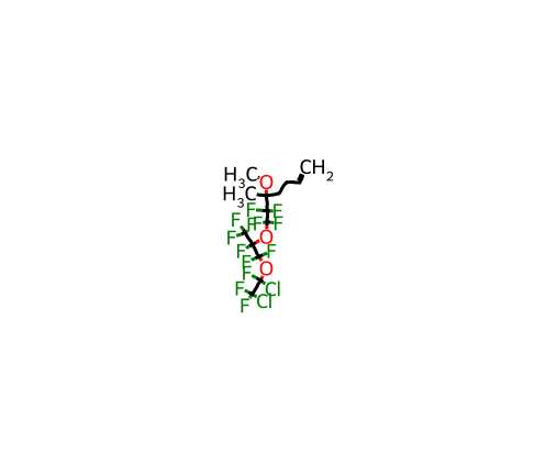 C=CCCC(C)(OC)C(F)(F)C(F)(F)OC(F)(C(F)(F)F)C(F)(F)OC(F)(Cl)C(F)(F)Cl